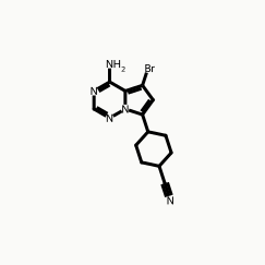 N#CC1CCC(c2cc(Br)c3c(N)ncnn23)CC1